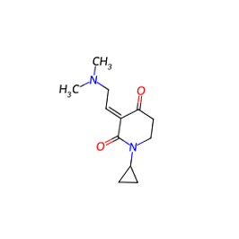 CN(C)C/C=C1\C(=O)CCN(C2CC2)C1=O